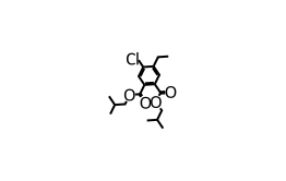 CCc1cc(C(=O)OCC(C)C)c(C(=O)OCC(C)C)cc1Cl